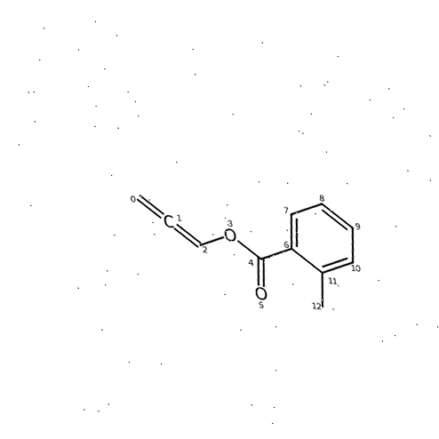 C=C=COC(=O)c1ccccc1C